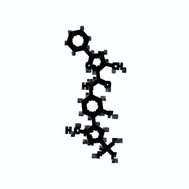 Cc1nc(-c2ccccc2)oc1C(=O)Nc1ccc(-c2cc(C(F)(F)F)nn2C)c(F)c1